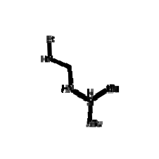 CCCC[SiH](NCNCC)C(C)(C)C